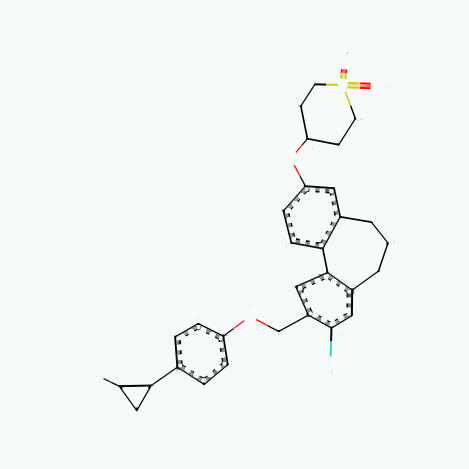 O=C(O)C1CC1c1ccc(OCc2cc3c(cc2F)CCCc2cc(OC4CCS(=O)(=O)CC4)ccc2-3)cc1